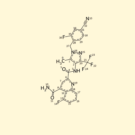 Cc1c(NC(=O)c2cc(C(N)=O)c3c(F)cccc3n2)c(C(F)(F)F)nn1Cc1ccc(C#N)cc1F